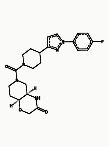 O=C1CO[C@H]2CCN(C(=O)N3CCC(c4ccn(-c5ccc(F)cc5)n4)CC3)C[C@H]2N1